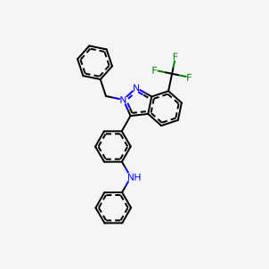 FC(F)(F)c1cccc2c(-c3cccc(Nc4ccccc4)c3)n(Cc3ccccc3)nc12